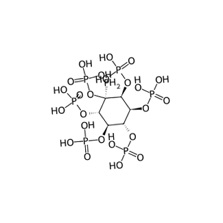 O=P(O)(O)O[C@@H]1[C@@H](OP(=O)(O)O)[C@H](OP(=O)(O)O)[C@@](P)(OP(=O)(O)O)[C@@H](OP(=O)(O)O)[C@H]1OP(=O)(O)O